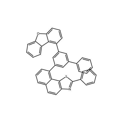 c1ccc(-c2cc(-c3cccc4oc5ccccc5c34)cc(-c3cccc4ccc5nc(-c6ccccc6)sc5c34)c2)cc1